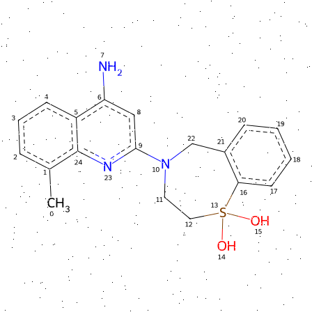 Cc1cccc2c(N)cc(N3CCS(O)(O)c4ccccc4C3)nc12